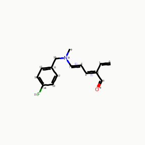 C=C/C(C=O)=C\C=C\N(C)Cc1ccc(F)cc1